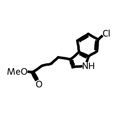 COC(=O)CCCc1c[nH]c2cc(Cl)ccc12